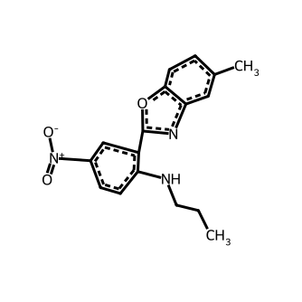 CCCNc1ccc([N+](=O)[O-])cc1-c1nc2cc(C)ccc2o1